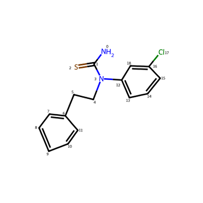 NC(=S)N(CCc1ccccc1)c1cccc(Cl)c1